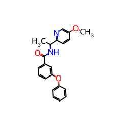 COc1ccc(C(C)NC(=O)c2cccc(Oc3ccccc3)c2)nc1